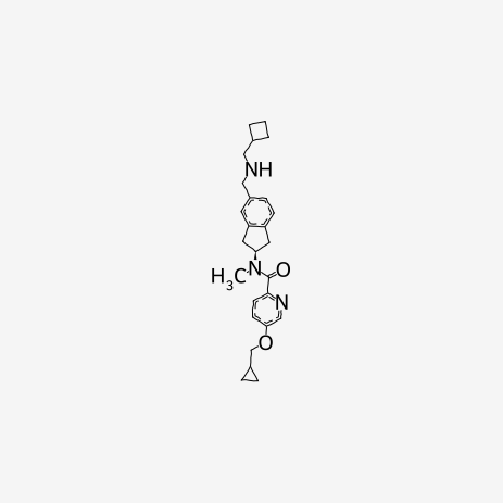 CN(C(=O)c1ccc(OCC2CC2)cn1)[C@@H]1Cc2ccc(CNCC3CCC3)cc2C1